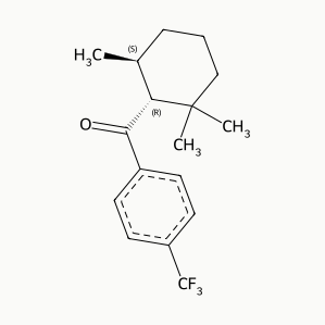 C[C@H]1CCCC(C)(C)[C@@H]1C(=O)c1ccc(C(F)(F)F)cc1